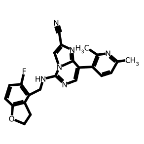 Cc1ccc(-c2cnc(NCc3c(F)ccc4c3CCO4)n3cc(C#N)nc23)c(C)n1